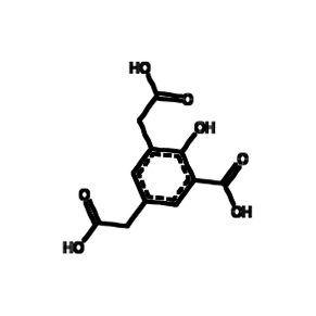 O=C(O)Cc1cc(CC(=O)O)c(O)c(C(=O)O)c1